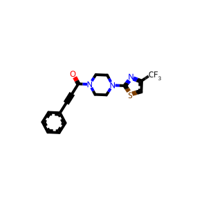 O=C(C#Cc1ccccc1)N1CCN(c2nc(C(F)(F)F)cs2)CC1